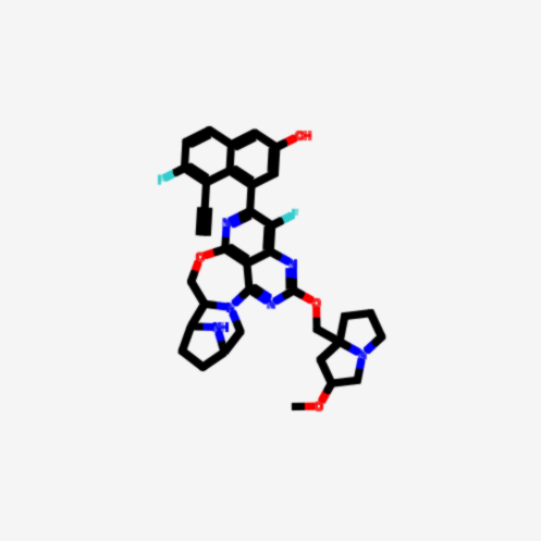 C#Cc1c(F)ccc2cc(O)cc(-c3nc4c5c(nc(OCC67CCCN6CC(OC)C7)nc5c3F)N3CC5CCC(N5)C3CO4)c12